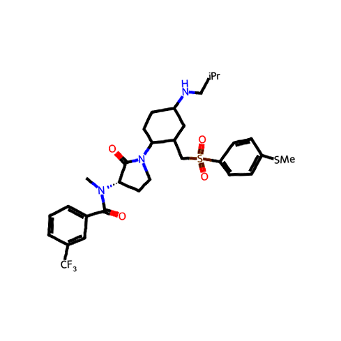 CSc1ccc(S(=O)(=O)CC2CC(NCC(C)C)CCC2N2CC[C@H](N(C)C(=O)c3cccc(C(F)(F)F)c3)C2=O)cc1